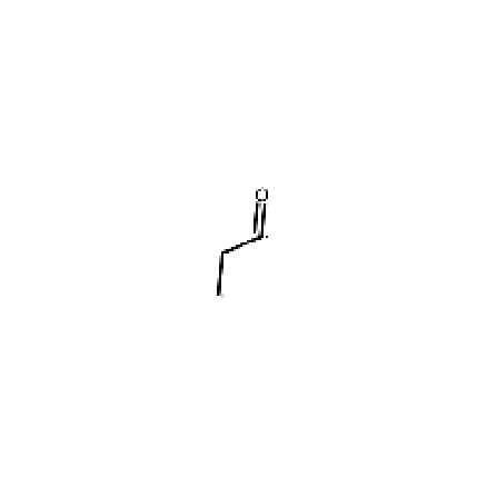 [CH]C[C]=O